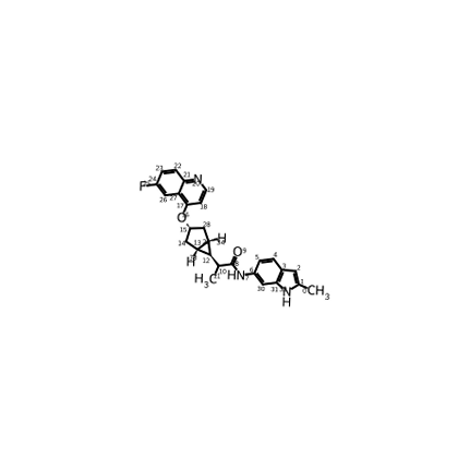 Cc1cc2ccc(NC(=O)C(C)[C@H]3[C@@H]4C[C@H](Oc5ccnc6ccc(F)cc56)C[C@@H]43)cc2[nH]1